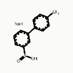 O=S(O)c1cccc(-c2ccc(C(F)(F)F)cc2)c1.[NaH]